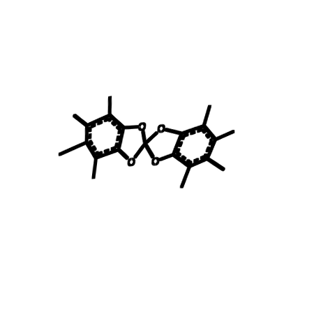 Cc1c(C)c(C)c2c(c1C)OC1(O2)Oc2c(C)c(C)c(C)c(C)c2O1